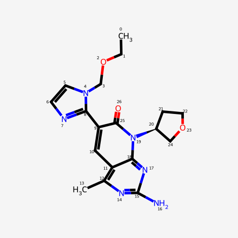 CCOCn1ccnc1-c1cc2c(C)nc(N)nc2n([C@H]2CCOC2)c1=O